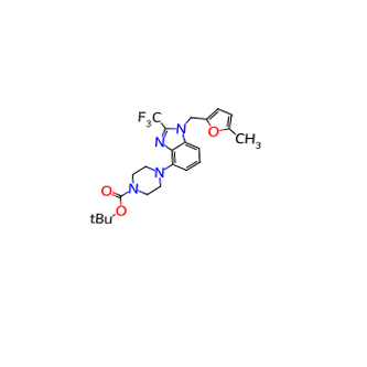 Cc1ccc(Cn2c(C(F)(F)F)nc3c(N4CCN(C(=O)OC(C)(C)C)CC4)cccc32)o1